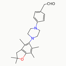 Cc1c(C)c(N2CCN(c3ccc(CC=O)cc3)CC2)c(C)c2c1OC(C)(C)C2